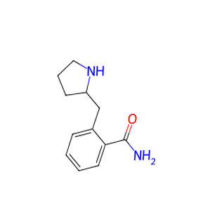 NC(=O)c1ccccc1CC1CCCN1